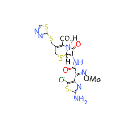 CON=C(C(=O)NC1C(=O)N2C(C(=O)O)=C(CSc3nncs3)CS[C@@H]12)c1nc(N)sc1Cl